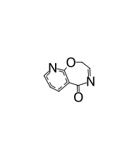 O=C1N=CCOc2ncccc21